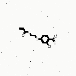 C=CC(=O)OCCOc1ccc(C(=O)Cl)c(Cl)c1